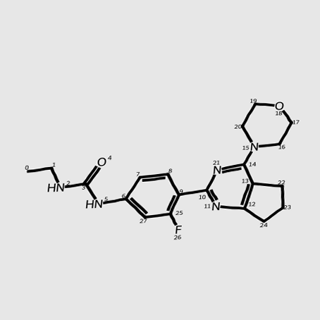 CCNC(=O)Nc1ccc(-c2nc3c(c(N4CCOCC4)n2)CCC3)c(F)c1